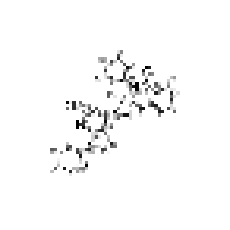 Cc1cccc2cc([C@H](C)Nc3nc(Cl)nc4c3ncn4C3CCCCO3)n(-c3ccccc3)c(=O)c12